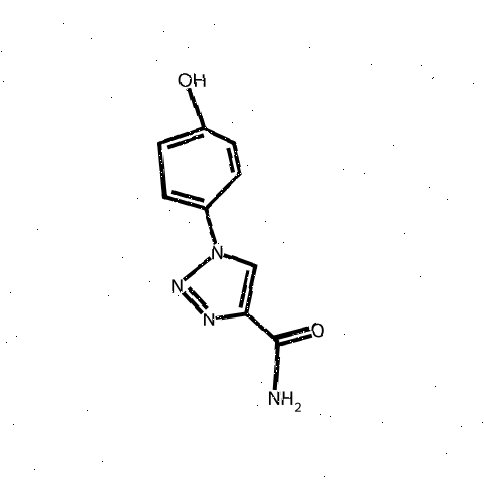 NC(=O)c1cn(-c2ccc(O)cc2)nn1